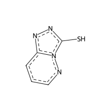 Sc1nnc2cccnn12